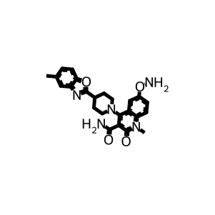 Cc1ccc2oc(C3CCN(c4c(C(N)=O)c(=O)n(C)c5ccc(ON)cc45)CC3)nc2c1